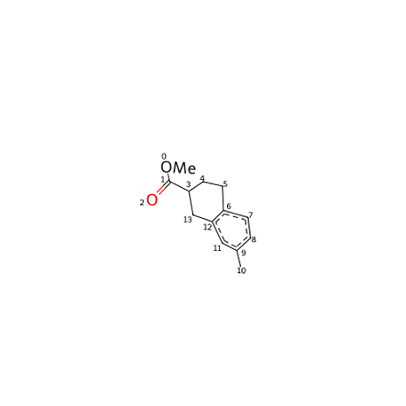 COC(=O)C1CCc2ccc(C)cc2C1